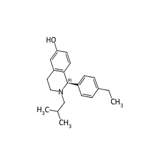 CCc1ccc([C@@H]2c3ccc(O)cc3CCN2CC(C)C)cc1